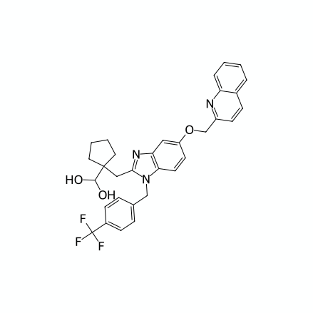 OC(O)C1(Cc2nc3cc(OCc4ccc5ccccc5n4)ccc3n2Cc2ccc(C(F)(F)F)cc2)CCCC1